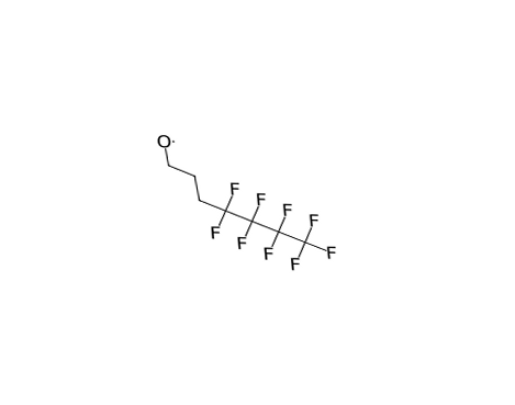 [O]CCCC(F)(F)C(F)(F)C(F)(F)C(F)(F)F